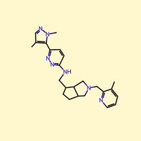 Cc1cccnc1CN1CC2CCC(CNc3ccc(-c4c(C)cnn4C)nn3)C2C1